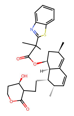 C[C@H]1C=C2C=C[C@H](C)[C@H](CCC3C(=O)OCC[C@H]3O)[C@H]2[C@@H](OC(=O)C(C)(C)c2nc3ccccc3s2)C1